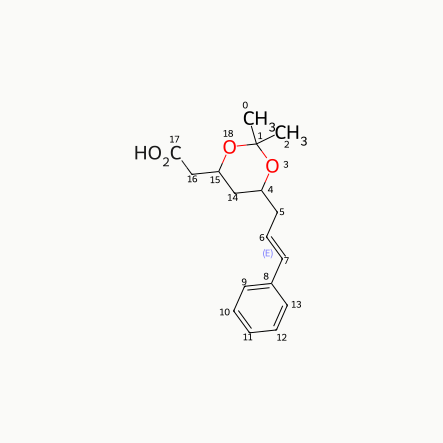 CC1(C)OC(C/C=C/c2ccccc2)CC(CC(=O)O)O1